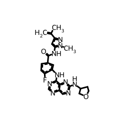 C=C(C)c1cc(NC(=O)c2ccc(F)c(Nc3ncnc4cnc(NC5CCOC5)nc34)c2)n(C)n1